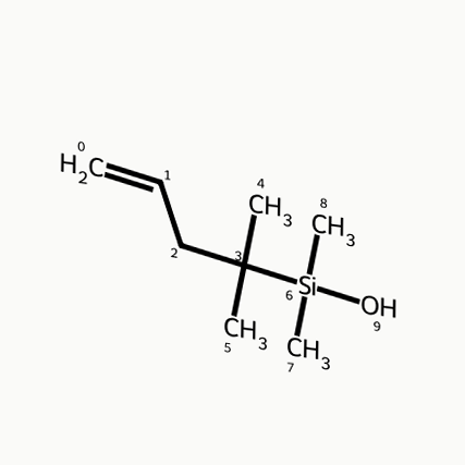 C=CCC(C)(C)[Si](C)(C)O